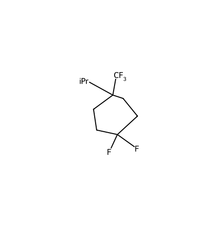 CC(C)C1(C(F)(F)F)CCC(F)(F)CC1